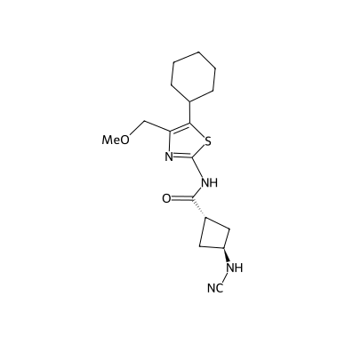 COCc1nc(NC(=O)[C@H]2C[C@H](NC#N)C2)sc1C1CCCCC1